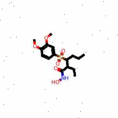 CCCC(C(CC)C(=O)NO)S(=O)(=O)c1ccc(OC)c(OC)c1